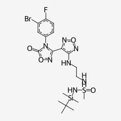 CC(C)(C)[Si](C)(C)N[SH](C)(=O)NCCNc1nonc1-c1noc(=O)n1-c1ccc(F)c(Br)c1